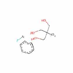 CC(=O)F.O=[N+]([O-])C(CO)(CO)CO.c1ccccc1